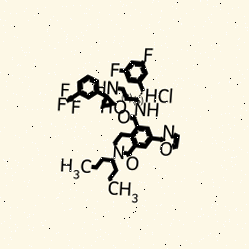 CCCC(CCC)N1CCc2c(C(=O)N[C@@H](Cc3cc(F)cc(F)c3)[C@H](O)CNC3(c4cccc(C(F)(F)F)c4)CC3)cc(-c3ncco3)cc2C1=O.Cl